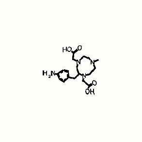 CN1CCN(CC(=O)O)CC(Cc2ccc(N)cc2)N(CC(=O)O)CC1